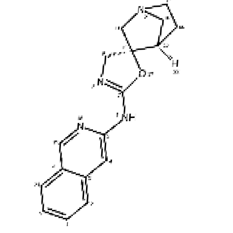 c1ccc2cc(NC3=NC[C@@]4(CN5CC[C@@H]4C5)O3)ncc2c1